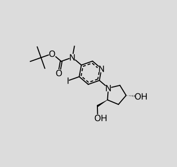 CN(C(=O)OC(C)(C)C)c1cnc(N2C[C@H](O)C[C@H]2CO)cc1I